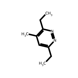 CCc1cc(C)c(CC)nn1